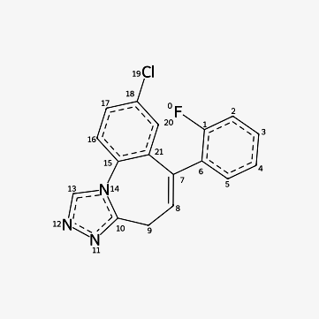 Fc1ccccc1C1=CCc2nncn2-c2ccc(Cl)cc21